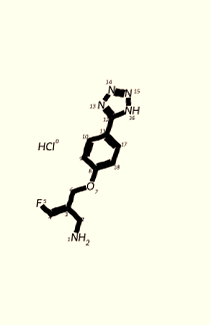 Cl.NC/C(=C/F)COc1ccc(-c2nnn[nH]2)cc1